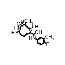 C/C1=C\N(C)/C(C(O)Nc2ccc(F)c(C)c2)=C/CCC(C(C)C)NS1(=O)=O